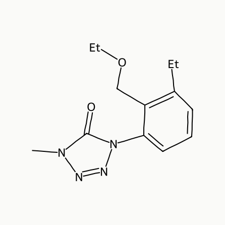 CCOCc1c(CC)cccc1-n1nnn(C)c1=O